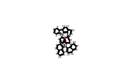 c1ccc(-n2c3ccccc3c3ccc4ccn(-c5ccc(N(c6cccc7ccccc67)c6cccc7ccccc67)cc5)c4c32)cc1